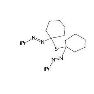 CC(C)N=NC1(SC2(N=NC(C)C)CCCCC2)CCCCC1